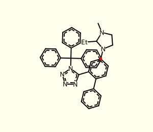 CCC1N(C)CCN1c1ccc(-c2ccccc2)c(-c2nnnn2C(c2ccccc2)(c2ccccc2)c2ccccc2)c1